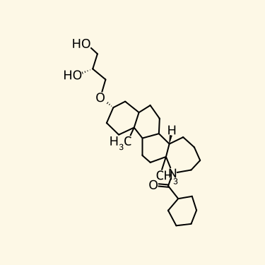 CC12CC[C@H](OC[C@H](O)CO)CC1CCC1C2CCC2(C)[C@H]1CCCCN2C(=O)C1CCCCC1